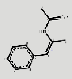 CC(=O)N/C(C)=C\c1ccccc1